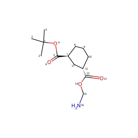 CC(C)(C)OC(=O)[C@H]1CCC[C@H](C(=O)OCN)C1